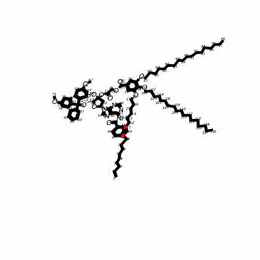 CCCCCCCCCCCCCCCCCCOc1cc(C(=O)OCC(=O)O[C@]2(O)C[C@H](n3cnc4c(NC(=O)c5ccccc5)ncnc43)O[C@@H]2COC(c2ccccc2)(c2ccc(OC)cc2)c2ccc(OC)cc2)cc(OCCCCCCCCCCCCCCCCCC)c1OCCCCCCCCCCCCCCCCCC